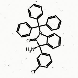 N[C@@]1(c2cccc(Cl)c2)C(=O)N(C(c2ccccc2)(c2ccccc2)c2ccccc2)c2ccccc21